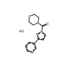 Cl.O=C(N1CCOCC1)n1ccc(-c2cccnc2)n1